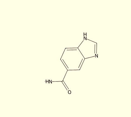 [NH]C(=O)c1ccc2[nH]cnc2c1